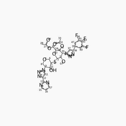 COC1C(SC2COCC(n3cc(-c4ncccn4)nn3)C2O)OC(COC(C)=O)C(OC(C)=O)C1n1cc(-c2cc(F)c(F)c(F)c2)nn1